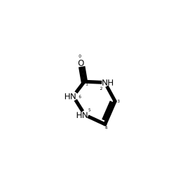 O=C1NC=CNN1